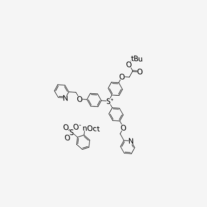 CC(C)(C)OC(=O)COc1ccc([S+](c2ccc(OCc3ccccn3)cc2)c2ccc(OCc3ccccn3)cc2)cc1.CCCCCCCCc1ccccc1S(=O)(=O)[O-]